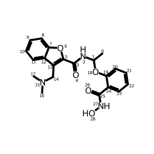 CC(NC(=O)c1oc2ccccc2c1CN(C)C)Oc1ccccc1C(=O)NO